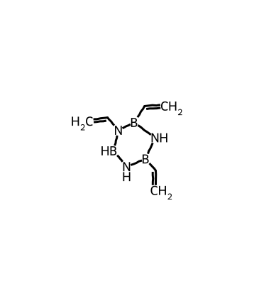 C=CB1NBN(C=C)B(C=C)N1